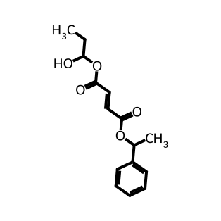 CCC(O)OC(=O)C=CC(=O)OC(C)c1ccccc1